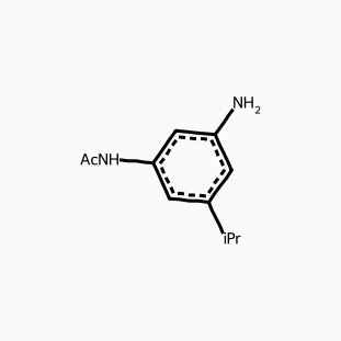 CC(=O)Nc1cc(N)cc(C(C)C)c1